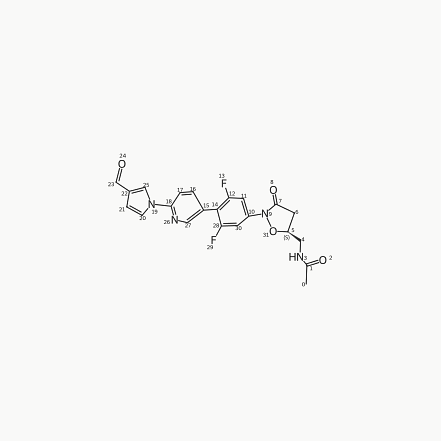 CC(=O)NC[C@@H]1CC(=O)N(c2cc(F)c(-c3ccc(-n4ccc(C=O)c4)nc3)c(F)c2)O1